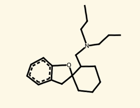 CCCN(CCC)CC1CCCCC12Cc1ccccc1O2